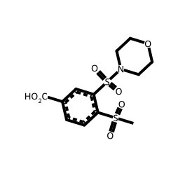 CS(=O)(=O)c1ccc(C(=O)O)cc1S(=O)(=O)N1CCOCC1